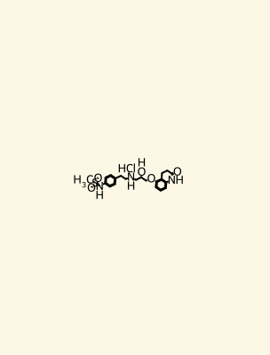 CS(=O)(=O)Nc1ccc(CCNCC(O)COc2cccc3c2CCC(=O)N3)cc1.Cl